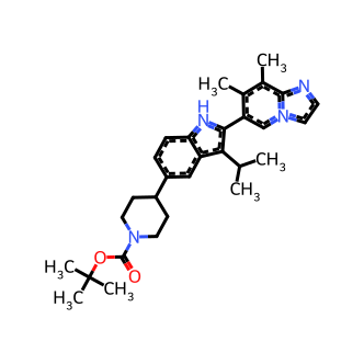 Cc1c(-c2[nH]c3ccc(C4CCN(C(=O)OC(C)(C)C)CC4)cc3c2C(C)C)cn2ccnc2c1C